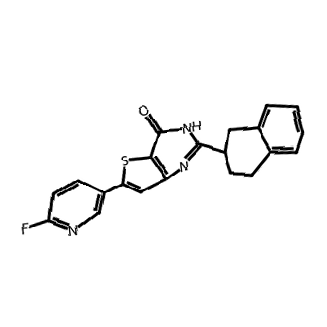 O=c1[nH]c(C2CCc3ccccc3C2)nc2cc(-c3ccc(F)nc3)sc12